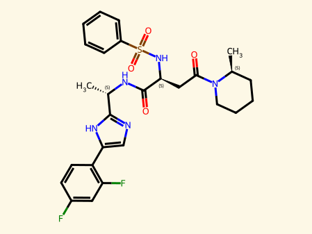 C[C@H](NC(=O)[C@H](CC(=O)N1CCCC[C@@H]1C)NS(=O)(=O)c1ccccc1)c1ncc(-c2ccc(F)cc2F)[nH]1